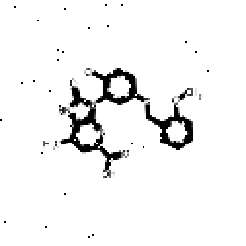 COc1ccccc1CSc1ccc(Cl)c(-n2c(=O)[nH]c3c(C)cc(C(=O)O)nc32)c1